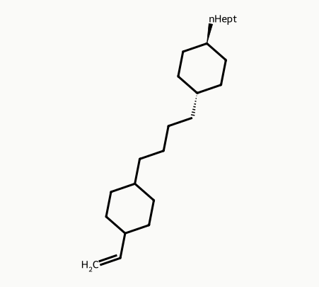 C=CC1CCC(CCCC[C@H]2CC[C@H](CCCCCCC)CC2)CC1